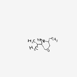 CCC1COCC(C(C)C)N1